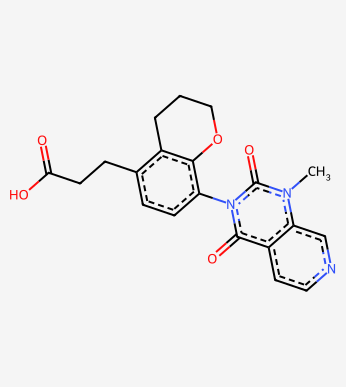 Cn1c(=O)n(-c2ccc(CCC(=O)O)c3c2OCCC3)c(=O)c2ccncc21